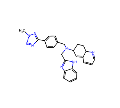 Cn1nnc(-c2ccc(CN(Cc3nc4ccccc4[nH]3)C3C=C4C=CC=NC4CC3)cc2)n1